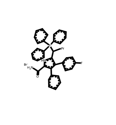 CC(C)C(c1[nH]c(C(N)=O)c(-c2ccccc2)c1-c1ccc(F)cc1)[P+](c1ccccc1)(c1ccccc1)c1ccccc1.[Br-]